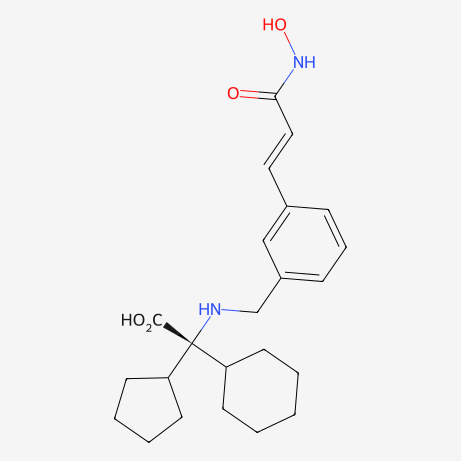 O=C(C=Cc1cccc(CN[C@](C(=O)O)(C2CCCCC2)C2CCCC2)c1)NO